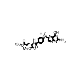 COC(=O)[C@H](CCC(=O)OC(C)(C)C)NC(=O)c1ccc(N(C)c2cnc3nc(N)nc(O)c3n2)cc1